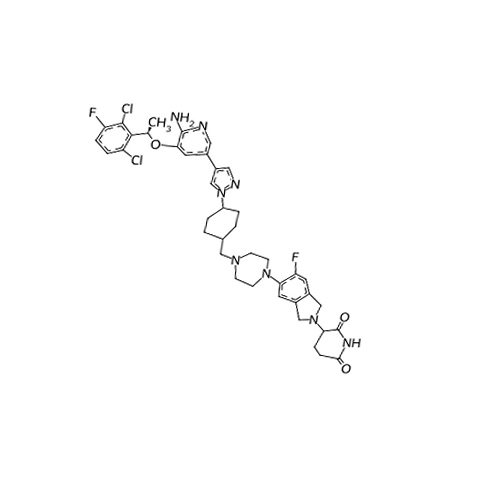 C[C@@H](Oc1cc(-c2cnn(C3CCC(CN4CCN(c5cc6c(cc5F)CN(C5CCC(=O)NC5=O)C6)CC4)CC3)c2)cnc1N)c1c(Cl)ccc(F)c1Cl